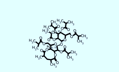 CC(C)C(=O)OCC1O[C@H](O[C@@H]2OC(COC(=O)C(C)C)[C@@H]3OC(=O)C(C)CC(C)C(=O)OC3C2OC(=O)C(C)C)C(OC(=O)C(C)C)C(OC(=O)C(C)C)[C@@H]1OC(=O)C(C)C